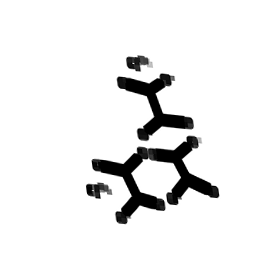 O=C([O-])C(=O)[O-].O=C([O-])C(=O)[O-].O=C([O-])C(=O)[O-].[Cf+3].[Cf+3]